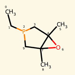 CCP1CC2(C)OC2(C)C1